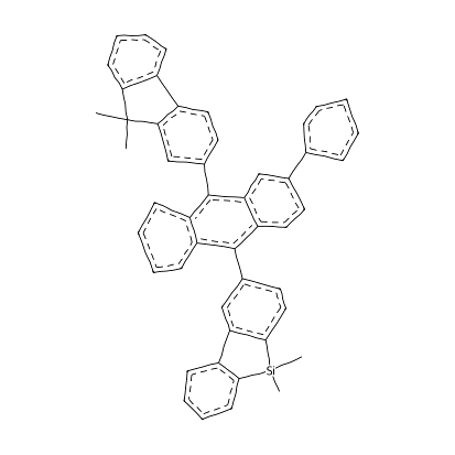 CC1(C)c2ccccc2-c2ccc(-c3c4ccccc4c(-c4ccc5c(c4)-c4ccccc4[Si]5(C)C)c4ccc(-c5ccccc5)cc34)cc21